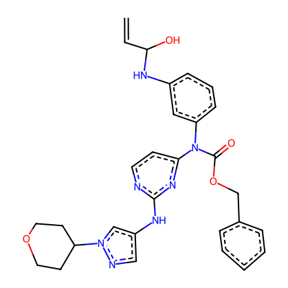 C=CC(O)Nc1cccc(N(C(=O)OCc2ccccc2)c2ccnc(Nc3cnn(C4CCOCC4)c3)n2)c1